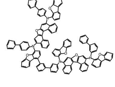 c1ccc(-c2ccc(N(c3cc4oc5cc(N(c6ccc(-c7ccccc7)cc6)c6ccc(-c7cccc(-c8cccc(N(c9cc%10oc%11cc(N(c%12cccc(-c%13ccccc%13)c%12)c%12cccc%13c%12oc%12ccccc%12%13)c%12ccccc%12c%11c%10c%10ccccc9%10)c9cccc%10c9oc9ccccc9%10)c8)c7)c7c6oc6ccccc67)c6ccccc6c5c4c4ccccc34)c3cccc4c3oc3ccccc34)cc2)cc1